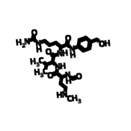 CNCCC(NC=O)C(=O)NC(C(=O)NC(CCCNC(N)=O)C(=O)Nc1ccc(CO)cc1)C(C)C